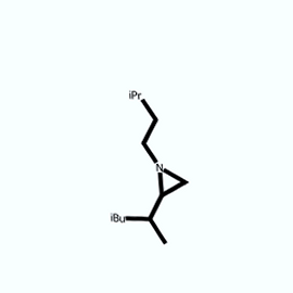 CCC(C)C(C)C1CN1CCC(C)C